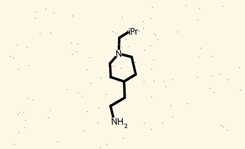 C[C](C)CN1CCC(CCN)CC1